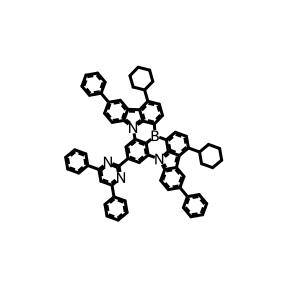 c1ccc(-c2ccc3c(c2)c2c(C4CCCCC4)ccc4c2n3-c2cc(-c3nc(-c5ccccc5)cc(-c5ccccc5)n3)cc3c2B4c2ccc(C4CCCCC4)c4c5cc(-c6ccccc6)ccc5n-3c24)cc1